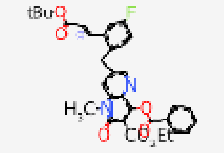 CCOC(=O)c1c(OC(=O)c2ccccc2)c2ncc(Cc3ccc(F)cc3/C=C/C(=O)OC(C)(C)C)cc2n(C)c1=O